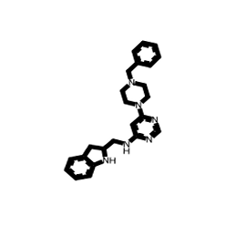 c1ccc(CN2CCN(c3cc(NCC4Cc5ccccc5N4)ncn3)CC2)cc1